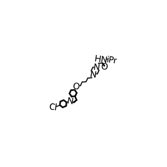 CC(C)NC(=O)CN1CCN(CCCCCOc2ccc3c(ccn3-c3ccc(Cl)cc3)c2)CC1